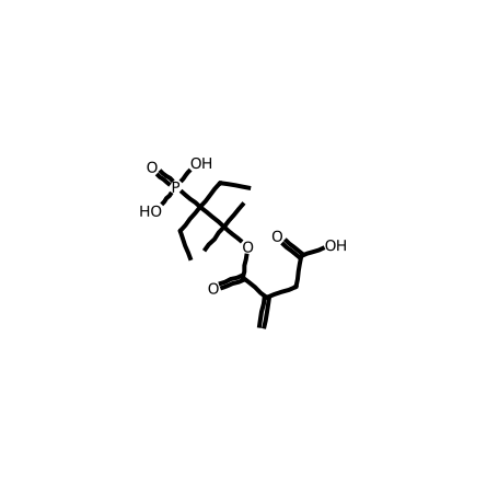 C=C(CC(=O)O)C(=O)OC(C)(C)C(CC)(CC)P(=O)(O)O